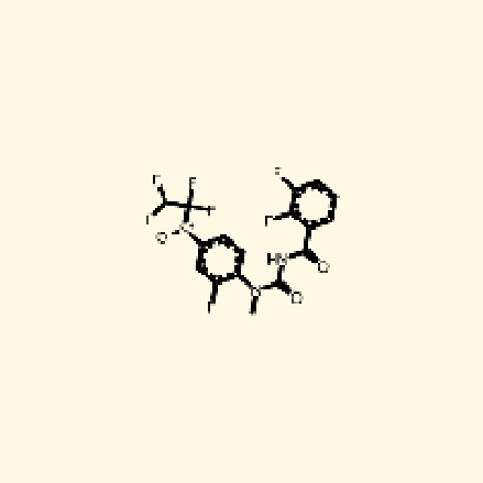 CN(C(=O)NC(=O)c1cccc(F)c1F)c1ccc([S+]([O-])C(F)(F)C(F)F)cc1F